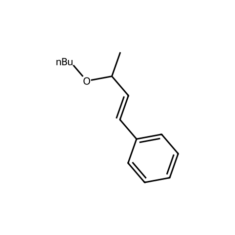 CCCCOC(C)/C=C/c1ccccc1